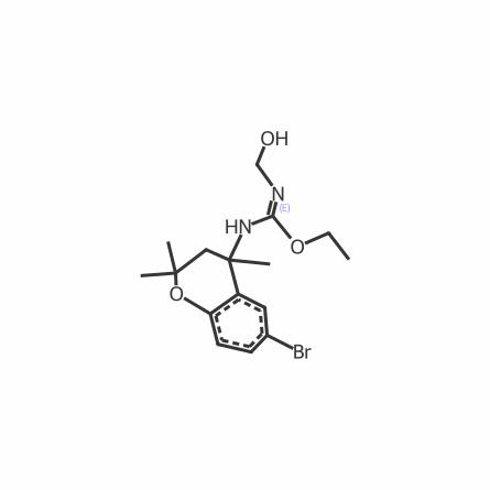 CCO/C(=N/CO)NC1(C)CC(C)(C)Oc2ccc(Br)cc21